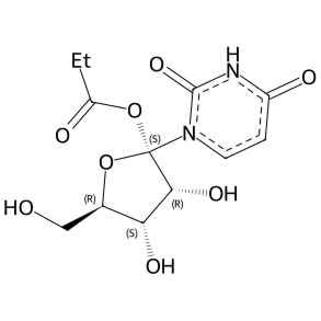 CCC(=O)O[C@@]1(n2ccc(=O)[nH]c2=O)O[C@H](CO)[C@@H](O)[C@H]1O